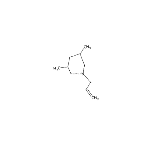 C=C[CH]N1CC(C)CC(C)C1